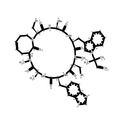 C=CC(C)(C)n1cc(C[C@@H]2NC(=O)[C@H](CCCC)NC(=O)[C@H](CC(C)C)N3CC/C=C\C[C@@H](C3=O)N(C)C(=O)[C@H](C)NC(=O)[C@H](Cc3ccc4ncsc4c3)NC(=O)[C@H](CC(C)C)N(C)C2=O)c2ccccc21